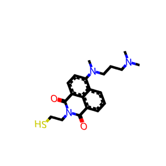 CN(C)CCCN(C)c1ccc2c3c(cccc13)C(=O)N(CCS)C2=O